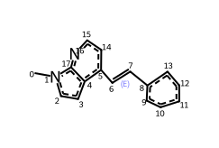 Cn1ccc2c(/C=C/c3ccccc3)ccnc21